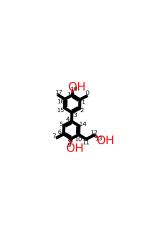 Cc1cc(-c2cc(C)c(O)c(CCO)c2)cc(C)c1O